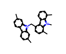 Cc1ccc2c3ccc(C)cc3n(Cc3ccc(C)c4c3c3cccc(C)c3n4C)c2c1